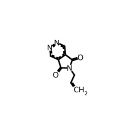 C=CCN1C(=O)c2cnncc2C1=O